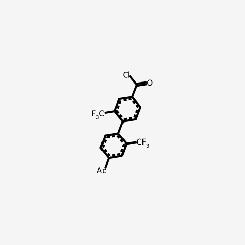 CC(=O)c1ccc(-c2ccc(C(=O)Cl)cc2C(F)(F)F)c(C(F)(F)F)c1